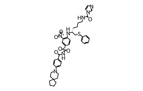 O=C(NS(=O)(=O)c1ccc(N[C@H](CCCCNC(=O)n2ccnc2)CSc2ccccc2)c([N+](=O)[O-])c1)c1ccc(N2CCC3(CCCC3)CC2)cc1